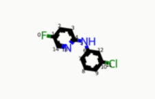 Fc1ccc(Nc2cccc(Cl)c2)nc1